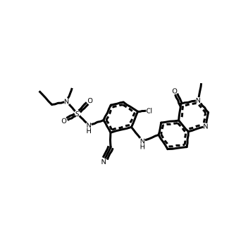 CCN(C)S(=O)(=O)Nc1ccc(Cl)c(Nc2ccc3ncn(C)c(=O)c3c2)c1C#N